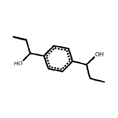 CCC(O)c1ccc(C(O)CC)cc1